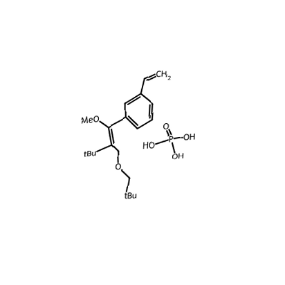 C=Cc1cccc(C(OC)=C(COCC(C)(C)C)C(C)(C)C)c1.O=P(O)(O)O